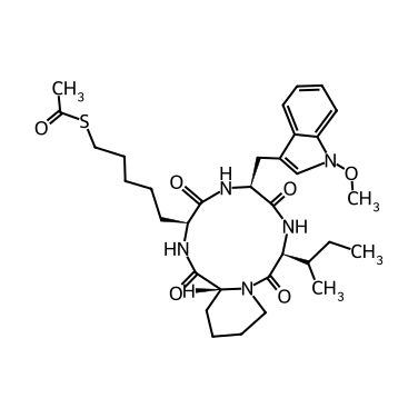 CCC(C)[C@@H]1NC(=O)[C@H](Cc2cn(OC)c3ccccc23)NC(=O)[C@H](CCCCCSC(C)=O)NC(=O)[C@H]2CCCCN2C1=O